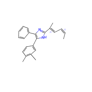 C/C=C\C=C(/C)c1nc(-c2ccccc2)c(-c2ccc(C)c(C)c2)[nH]1